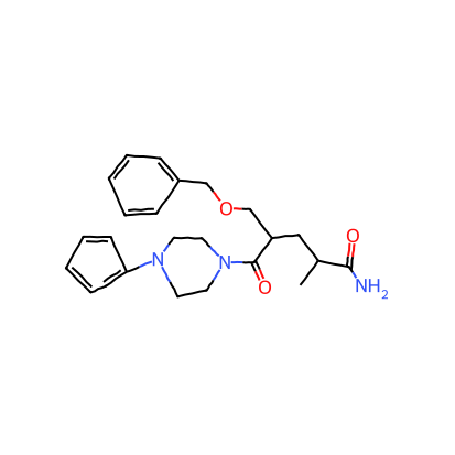 CC(CC(COCc1ccccc1)C(=O)N1CCN(c2ccccc2)CC1)C(N)=O